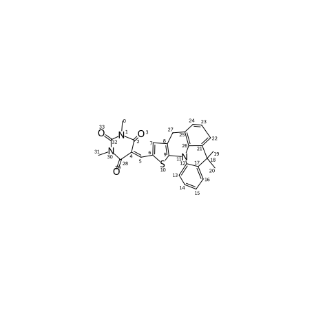 CN1C(=O)C(=Cc2cc3c(s2)N2c4ccccc4C(C)(C)c4cccc(c42)C3)C(=O)N(C)C1=O